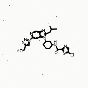 CC(C)Cc1nc2cnc(-n3cc(CO)nn3)cc2n1[C@@H]1CCC[C@H](NC(=O)c2ncc(Cl)s2)C1